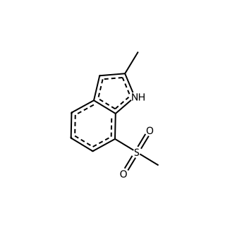 Cc1cc2cccc(S(C)(=O)=O)c2[nH]1